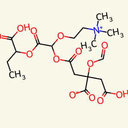 CCC(OC(=O)C(OCC[N+](C)(C)C)OC(=O)CC(CC(=O)O)(OC=O)C(=O)[O-])C(=O)O